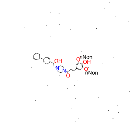 CCCCCCCCCOc1cc(C=CC(=O)N2CCN(CC(O)c3ccc(-c4ccccc4)cc3)CC2)cc(OCCCCCCCCC)c1O